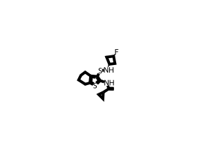 C=C(Nc1sc2c(c1SN[C@H]1C[C@@H](F)C1)CCCC2)C1CC1